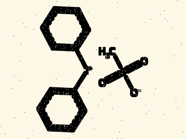 CS(=O)(=O)[O-].c1ccc([I+]c2ccccc2)cc1